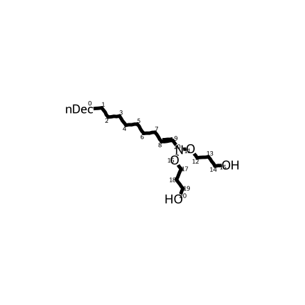 CCCCCCCCCCCCCCCCCC=CN(OCCCO)OCCCO